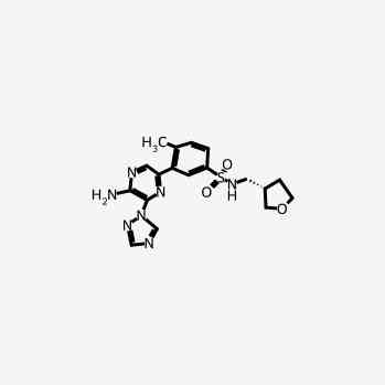 Cc1ccc(S(=O)(=O)NC[C@@H]2CCOC2)cc1-c1cnc(N)c(-n2cncn2)n1